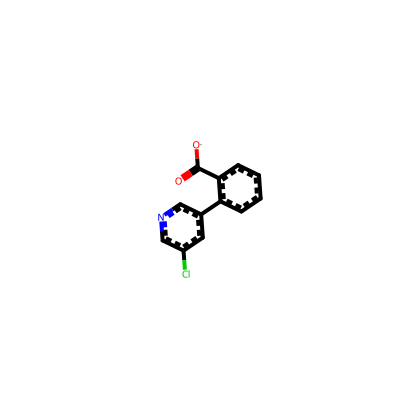 [O]C(=O)c1ccccc1-c1cncc(Cl)c1